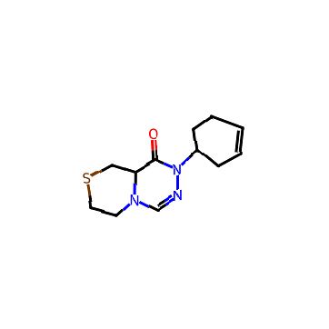 O=C1C2CSCCN2C=NN1C1CC=CCC1